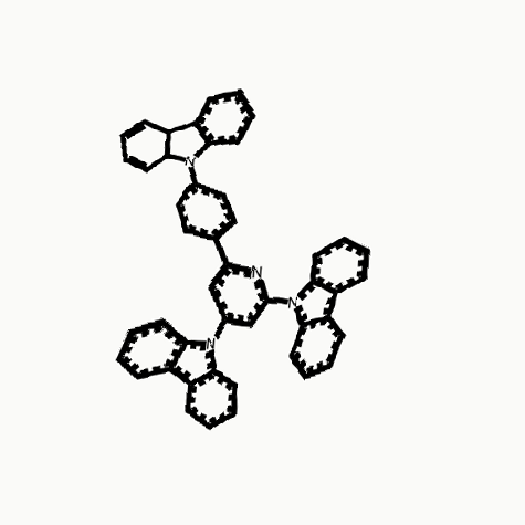 C1=CC2c3ccccc3N(c3ccc(-c4cc(-n5c6ccccc6c6ccccc65)cc(-n5c6ccccc6c6ccccc65)n4)cc3)C2C=C1